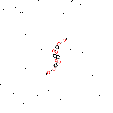 C=COCCCOc1ccc(C(=O)Oc2cccc3c(OC(=O)c4ccc(OCCCOC=C)cc4)cccc23)cc1